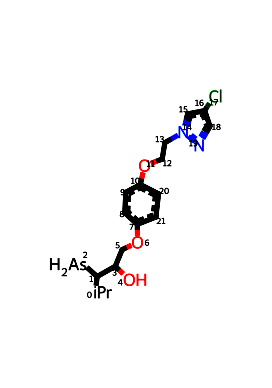 CC(C)C([AsH2])C(O)COc1ccc(OCCn2cc(Cl)cn2)cc1